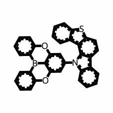 c1ccc2c(c1)Oc1cc(-n3c4ccccc4c4ccc5sc6ccccc6c5c43)cc3c1B2c1ccccc1O3